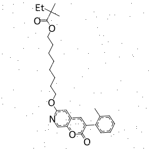 CCC(C)(C)C(=O)OCCCCCCCCOc1cc2cc(-c3ccccc3C)c(=O)oc2cn1